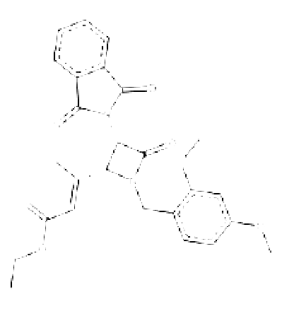 CCOC(=O)/C=C(\C)[C@@H]1[C@H](N2C(=O)c3ccccc3C2=O)C(=O)N1Cc1ccc(OC)cc1OC